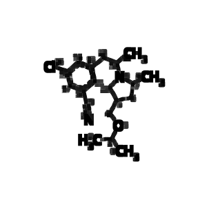 CC(C)OCC1CC(C)N(C(C)Cc2cc(Cl)cc(C#N)c2)C1